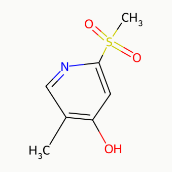 Cc1cnc(S(C)(=O)=O)cc1O